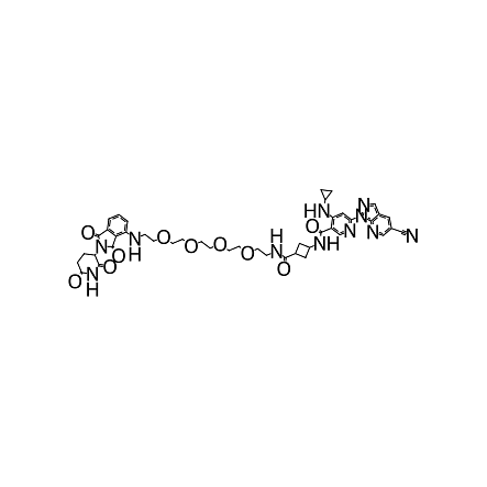 N#Cc1cnc2c(cnn2-c2cc(NC3CC3)c(C(=O)NC3CC(C(=O)NCCOCCOCCOCCOCCNc4cccc5c4C(=O)N(C4CCC(=O)NC4=O)C5=O)C3)cn2)c1